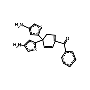 Nc1csc(C2(c3cc(N)cs3)C=CC(C(=O)c3ccccc3)=CC2)c1